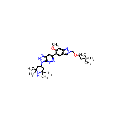 COc1cc2nn(COCC[Si](C)(C)C)cc2cc1-c1cc2nnn(C3CC(C)(C)NC(C)(C)C3)c2nn1